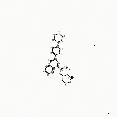 CN(CC1CCCNC1)c1nc(-c2ccc(N3CCCCC3)cc2)cc2nccnc12